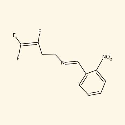 O=[N+]([O-])c1ccccc1C=NCCC(F)=C(F)F